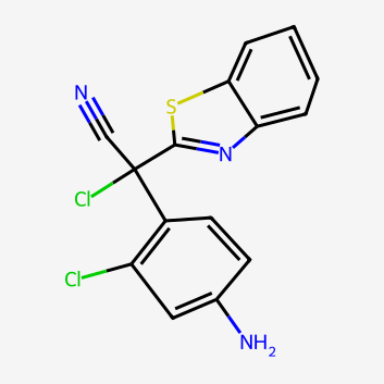 N#CC(Cl)(c1nc2ccccc2s1)c1ccc(N)cc1Cl